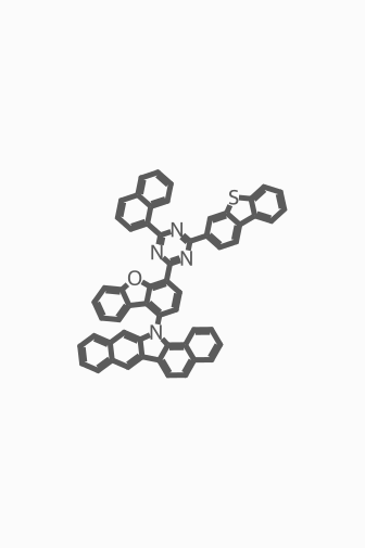 c1ccc2cc3c(cc2c1)c1ccc2ccccc2c1n3-c1ccc(-c2nc(-c3ccc4c(c3)sc3ccccc34)nc(-c3cccc4ccccc34)n2)c2oc3ccccc3c12